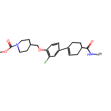 CCCNC(=O)C1CC=C(c2ccc(OCC3CCN(C(=O)OC(C)(C)C)CC3)c(F)c2)CC1